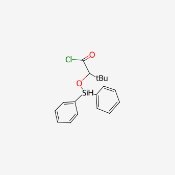 CC(C)(C)C(O[SiH](c1ccccc1)c1ccccc1)C(=O)Cl